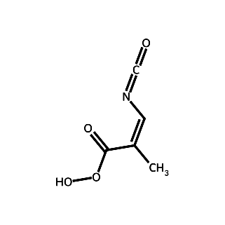 CC(=CN=C=O)C(=O)OO